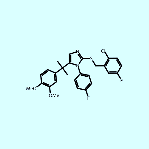 COc1ccc(C(C)(C)c2cnc(SCc3cc(F)ccc3Cl)n2-c2ccc(F)cc2)cc1OC